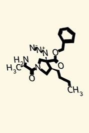 CCCC[C@H]1CN(C(=O)[C@H](C)N)C[C@@]1(N=[N+]=[N-])C(=O)OCc1ccccc1